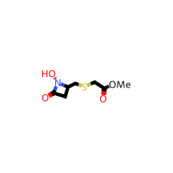 COC(=O)CSCC1CC(=O)N1O